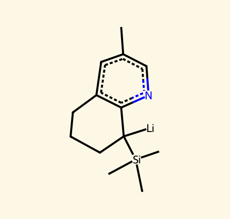 [Li][C]1([Si](C)(C)C)CCCc2cc(C)cnc21